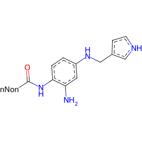 CCCCCCCCCC(=O)Nc1ccc(NCc2cc[nH]c2)cc1N